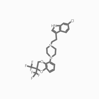 FC(F)(F)C1(C(F)(F)F)COc2c(cccc2N2CCN(CCc3c[nH]c4cc(Cl)ccc34)CC2)O1